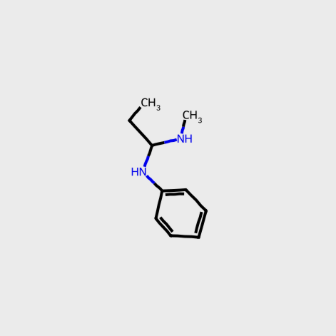 CCC(NC)Nc1ccccc1